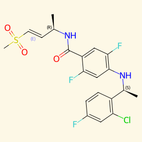 C[C@H](/C=C/S(C)(=O)=O)NC(=O)c1cc(F)c(N[C@@H](C)c2ccc(F)cc2Cl)cc1F